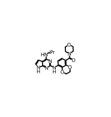 CC(C)Nc1nc(Nc2ccc(C(=O)N3CCOCC3)c3c2OCCO3)nc2[nH]ccc12